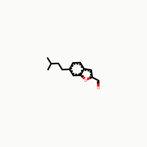 CC(C)CCc1ccc2cc(C=O)oc2c1